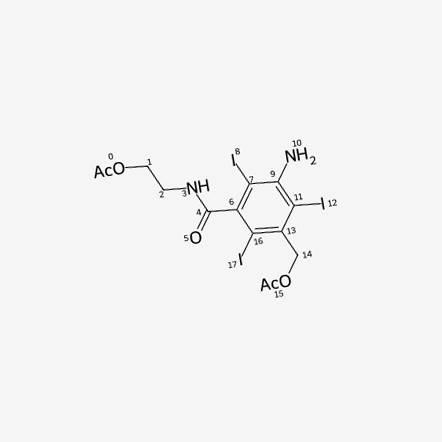 CC(=O)OCCNC(=O)c1c(I)c(N)c(I)c(COC(C)=O)c1I